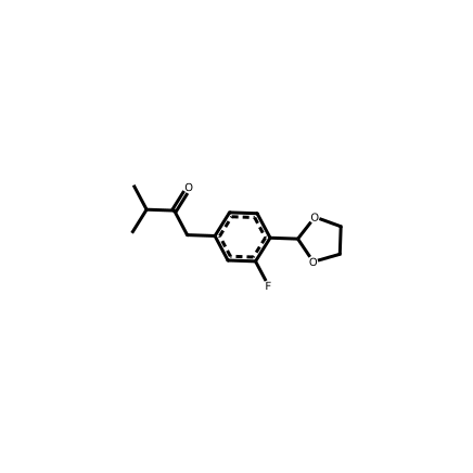 CC(C)C(=O)Cc1ccc(C2OCCO2)c(F)c1